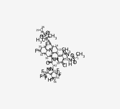 CCS(=O)(=O)Nc1nn(C)c2c(-c3ccc(C#CC(C)(C)S(=O)(=O)C4CC4)nc3[C@H](Cc3cc(F)cc(F)c3)NC(=O)Cn3nc(C(F)(F)F)c4c3C(F)(F)C3C[C@H]43)ccc(Cl)c12